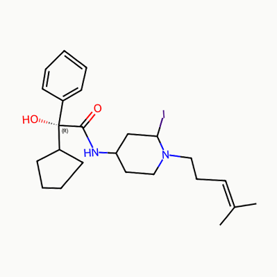 CC(C)=CCCN1CCC(NC(=O)[C@](O)(c2ccccc2)C2CCCC2)CC1I